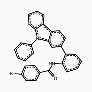 O=C(Nc1ccccc1-c1ccc2c3ccccc3n(-c3ccccc3)c2c1)c1ccc(Br)cc1